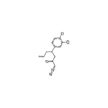 C=CCC(CC(=O)C=[N+]=[N-])c1ccc(Cl)c(Cl)c1